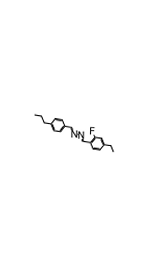 CCCc1ccc(C=NN=Cc2ccc(CC)cc2F)cc1